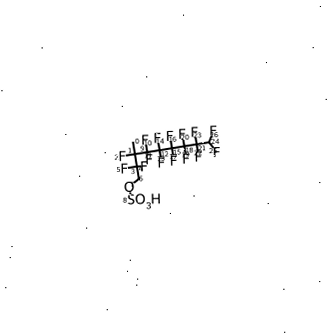 CC(F)(C(F)(F)COS(=O)(=O)O)C(F)(F)C(F)(F)C(F)(F)C(F)(F)C(F)(F)C(F)F